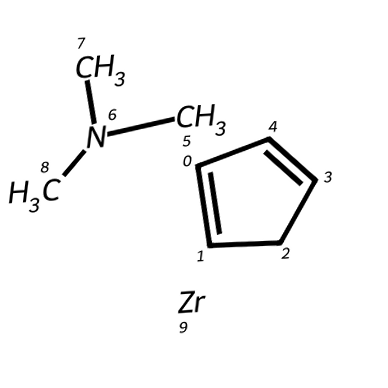 C1=CCC=C1.CN(C)C.[Zr]